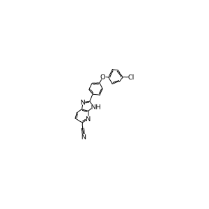 N#Cc1ccc2nc(-c3ccc(Oc4ccc(Cl)cc4)cc3)[nH]c2n1